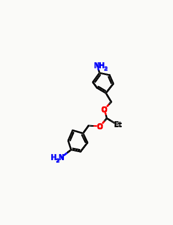 CCC(OCc1ccc(N)cc1)OCc1ccc(N)cc1